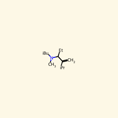 C=C(C(C)C)C(CC)N(C)C(C)CC